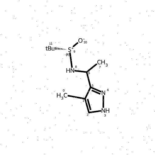 Cc1c[nH]nc1C(C)N[S@@+]([O-])C(C)(C)C